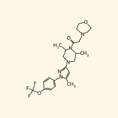 Cc1cc(N2CC(C)N(C(=O)CN3CCOCC3)C(C)C2)nn1-c1ccc(OC(F)(F)F)cc1